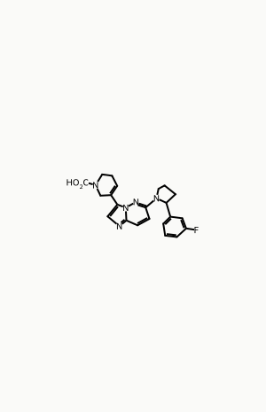 O=C(O)N1CCC=C(c2cnc3ccc(N4CCCC4c4cccc(F)c4)nn23)C1